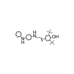 CC(C)(C)c1cc(SCCNc2ccc(Nc3ccccc3)cc2)cc(C(C)(C)C)c1O